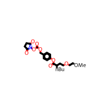 CCCCC(CCOCCOC)C(=O)Oc1ccc(COC(=O)ON2C(=O)CCC2=O)cc1